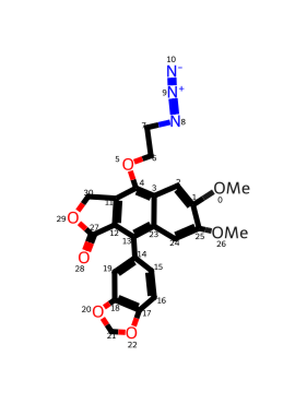 COc1cc2c(OCCN=[N+]=[N-])c3c(c(-c4ccc5c(c4)OCO5)c2cc1OC)C(=O)OC3